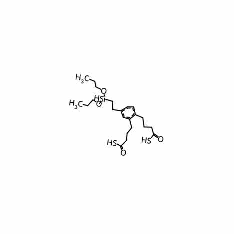 CCCO[SiH](CCc1ccc(CCCC(=O)S)c(CCCC(=O)S)c1)OCCC